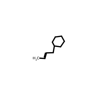 [CH2]C=CCC1CCCCC1